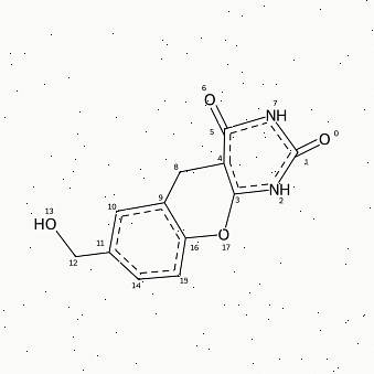 O=c1[nH]c2c(c(=O)[nH]1)Cc1cc(CO)ccc1O2